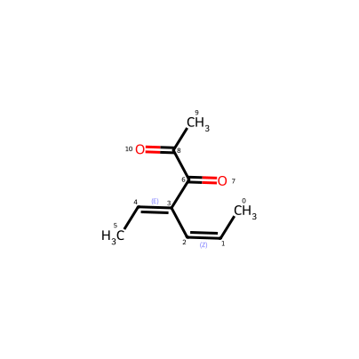 C/C=C\C(=C/C)C(=O)C(C)=O